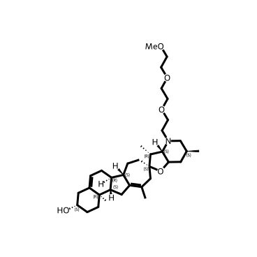 COCCOCCOCCN1C[C@@H](C)CC2O[C@]3(CC[C@@H]4C(=C(C)C3)C[C@H]3[C@H]4CC=C4C[C@@H](O)CC[C@@]43C)[C@H](C)[C@@H]21